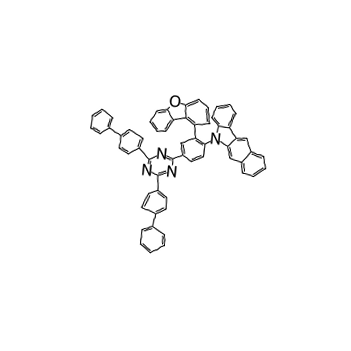 c1ccc(-c2ccc(-c3nc(-c4ccc(-c5ccccc5)cc4)nc(-c4ccc(-n5c6ccccc6c6cc7ccccc7cc65)c(-c5cccc6oc7ccccc7c56)c4)n3)cc2)cc1